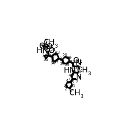 Cc1cccc(-c2cncc(Nc3c(C)noc3-c3ccc(-c4ccc(C5(C(=O)NS(C)(=O)=O)CC5)cc4)cc3)c2)c1